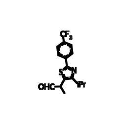 CC(C)c1nc(-c2ccc(C(F)(F)F)cc2)sc1C(C)C=O